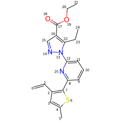 C=Cc1cc(C)sc1-c1cccc(-n2ncc(C(=O)OCC)c2CC)n1